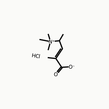 CC(=CC(C)[N+](C)(C)C)C(=O)[O-].Cl